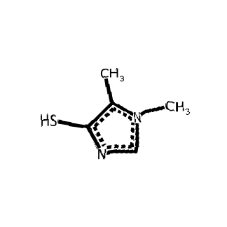 Cc1c(S)ncn1C